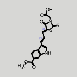 COC(=O)c1ccc2c(/C=C/C=C3\SC(=S)N(CC(=O)O)C3=O)c[nH]c2c1